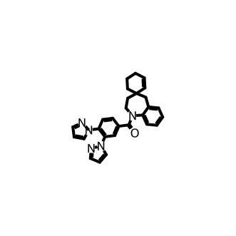 O=C(c1ccc(-n2cccn2)c(-n2cccn2)c1)N1CCC2(C=CCCC2)Cc2ccccc21